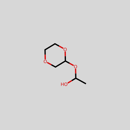 CC(O)OC1COCCO1